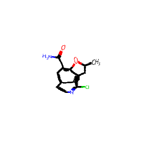 CC1Cc2c(c(C(N)=O)cc3ccnc(Cl)c23)O1